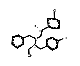 OC[C@H](Cc1ccc(O)cc1)N(Cc1ccccc1)C[C@H](O)c1cccc(Cl)c1